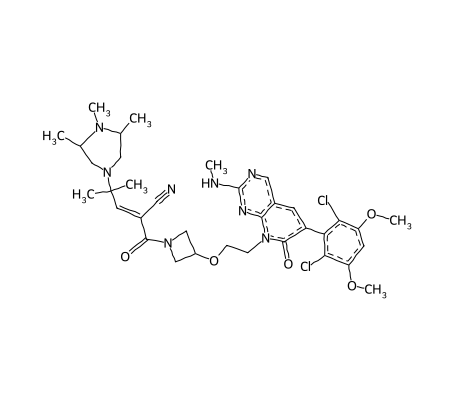 CNc1ncc2cc(-c3c(Cl)c(OC)cc(OC)c3Cl)c(=O)n(CCOC3CN(C(=O)C(C#N)=CC(C)(C)N4CC(C)N(C)C(C)C4)C3)c2n1